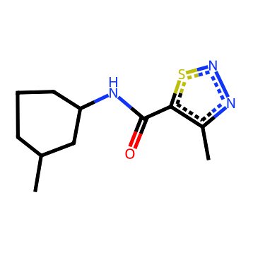 Cc1nnsc1C(=O)NC1CCCC(C)C1